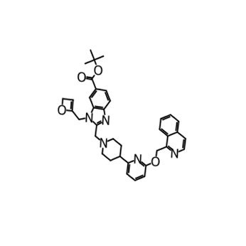 CC(C)(C)OC(=O)c1ccc2nc(CN3CCC(c4cccc(OCc5nccc6ccccc56)n4)CC3)n(CC3=CCO3)c2c1